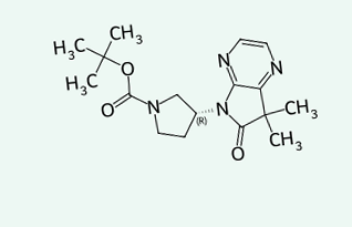 CC(C)(C)OC(=O)N1CC[C@@H](N2C(=O)C(C)(C)c3nccnc32)C1